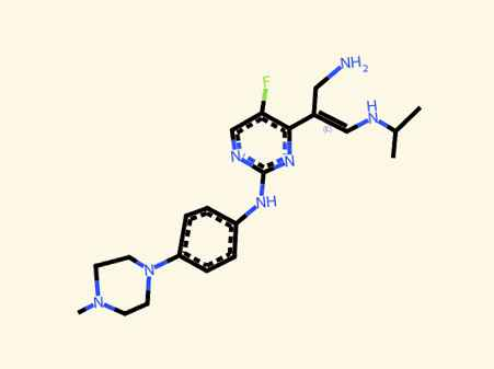 CC(C)N/C=C(\CN)c1nc(Nc2ccc(N3CCN(C)CC3)cc2)ncc1F